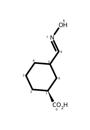 O=C(O)[C@H]1CCCC(/C=N/O)C1